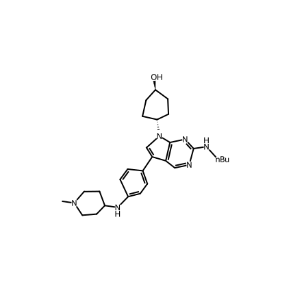 CCCCNc1ncc2c(-c3ccc(NC4CCN(C)CC4)cc3)cn([C@H]3CC[C@H](O)CC3)c2n1